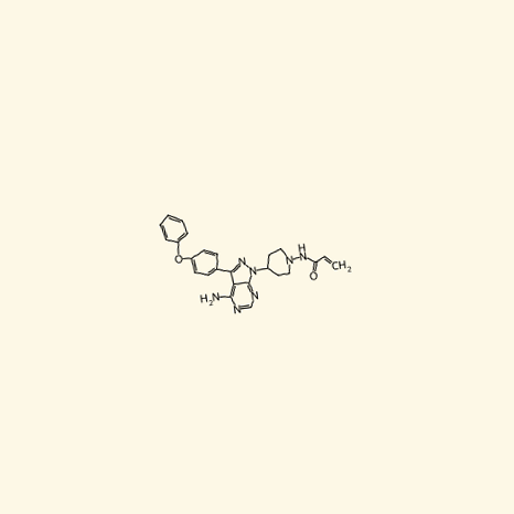 C=CC(=O)NN1CCC(n2nc(-c3ccc(Oc4ccccc4)cc3)c3c(N)ncnc32)CC1